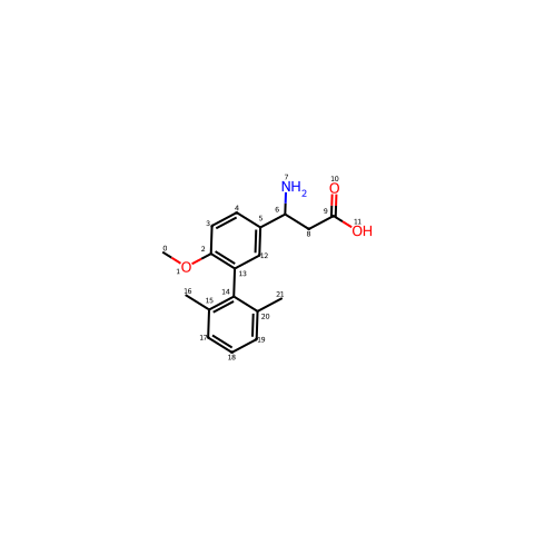 COc1ccc(C(N)CC(=O)O)cc1-c1c(C)cccc1C